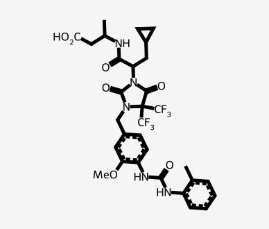 COc1cc(CN2C(=O)N(C(CC3CC3)C(=O)NC(C)CC(=O)O)C(=O)C2(C(F)(F)F)C(F)(F)F)ccc1NC(=O)Nc1ccccc1C